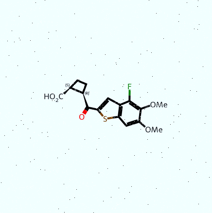 COc1cc2sc(C(=O)[C@@H]3CC[C@@H]3C(=O)O)cc2c(F)c1OC